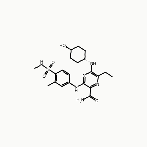 CCc1nc(C(N)=O)c(Nc2ccc(S(=O)(=O)NC)c(C)c2)nc1N[C@H]1CC[C@H](O)CC1